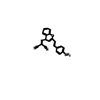 N#CC(C#N)=CC1C=C(C=Cc2ccc(N)cc2)Oc2ccccc21